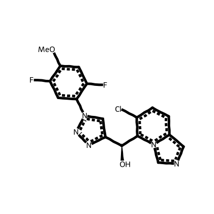 COc1cc(F)c(-n2cc([C@H](O)c3c(Cl)ccc4cncn34)nn2)cc1F